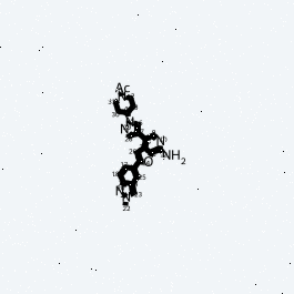 CC(=O)N1CCC(n2cc(-c3cnc(N)c4oc(-c5ccc6nn(C)cc6c5)cc34)cn2)CC1